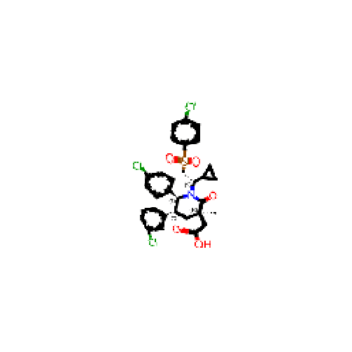 C[C@]1(CC(=O)O)C[C@H](c2cccc(Cl)c2)[C@@H](c2ccc(Cl)cc2)N([C@H](CS(=O)(=O)c2ccc(Cl)cc2)C2CC2)C1=O